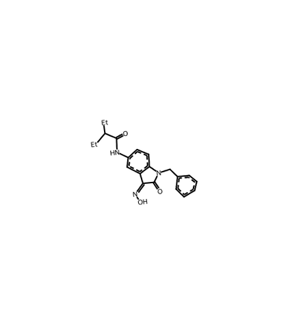 CCC(CC)C(=O)Nc1ccc2c(c1)/C(=N/O)C(=O)N2Cc1ccccc1